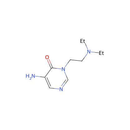 CCN(CC)CCn1cncc(N)c1=O